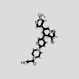 C#CC(=O)N1CCN(c2ccc(-c3cc(-c4cnn(C)c4)cn4ncc(Br)c34)cn2)CC1